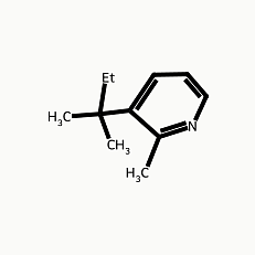 CCC(C)(C)c1cccnc1C